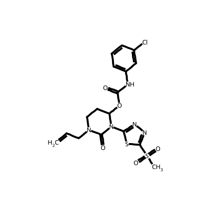 C=CCN1CCC(OC(=O)Nc2cccc(Cl)c2)N(c2nnc(S(C)(=O)=O)s2)C1=O